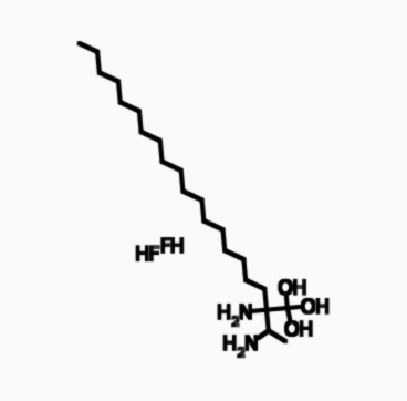 CCCCCCCCCCCCCCCCCCC(N)(C(C)N)C(O)(O)O.F.F